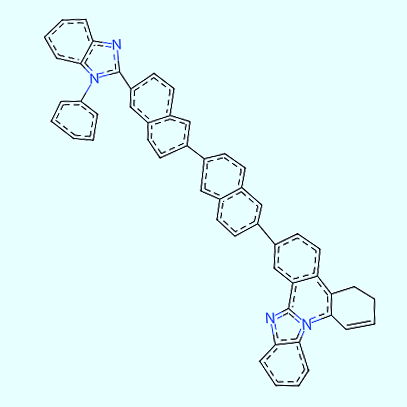 C1=Cc2c(c3ccc(-c4ccc5cc(-c6ccc7cc(-c8nc9ccccc9n8-c8ccccc8)ccc7c6)ccc5c4)cc3c3nc4ccccc4n23)CC1